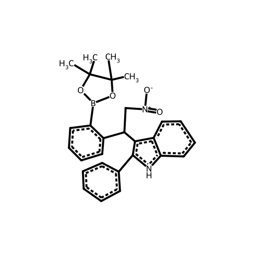 CC1(C)OB(c2ccccc2C(C[N+](=O)[O-])c2c(-c3ccccc3)[nH]c3ccccc23)OC1(C)C